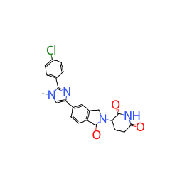 Cn1cc(-c2ccc3c(c2)CN(C2CCC(=O)NC2=O)C3=O)nc1-c1ccc(Cl)cc1